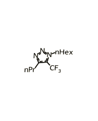 CCCCCCn1nnc(CCC)c1C(F)(F)F